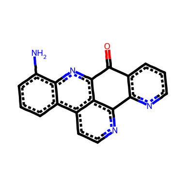 Nc1cccc2c1nc1c3c(nccc32)-c2ncccc2C1=O